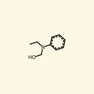 CCN(CO)c1ccccc1